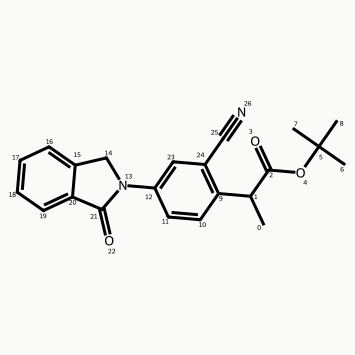 CC(C(=O)OC(C)(C)C)c1ccc(N2Cc3ccccc3C2=O)cc1C#N